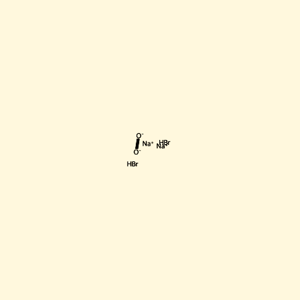 Br.Br.[Na+].[Na+].[O-][O-]